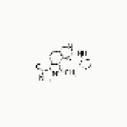 Cn1nc(C(N)=O)c2c1-c1nc(NC3CCCC3)ncc1CC2